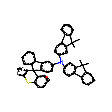 CC1(C)c2ccccc2-c2ccc(N(c3ccc4c(c3)-c3ccccc3C43c4ccccc4Sc4ccc5ccccc5c43)c3ccc4c(c3)C(C)(C)c3ccccc3-4)cc21